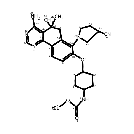 CC(C)(C)OC(=O)NC1CCC(Oc2ccc3c(c2N2CCC(C#N)C2)CC(C)(C)c2c(N)ncnc2-3)CC1